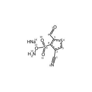 N#Cc1csc(C=O)c1S(=O)(=O)ON.[NaH]